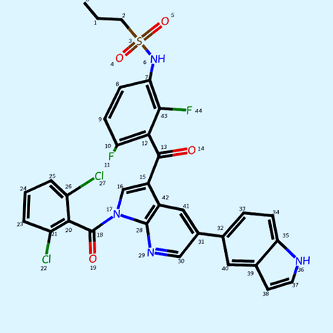 CCCS(=O)(=O)Nc1ccc(F)c(C(=O)c2cn(C(=O)c3c(Cl)cccc3Cl)c3ncc(-c4ccc5[nH]ccc5c4)cc23)c1F